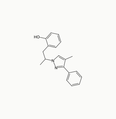 Cc1cn(C(C)Cc2ccccc2O)nc1-c1ccccc1